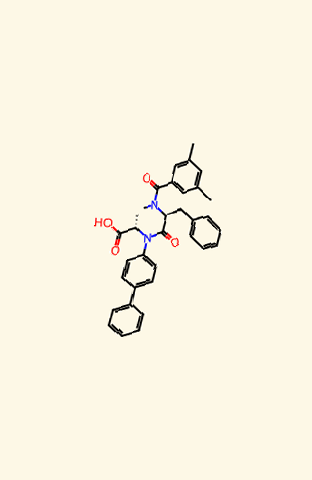 Cc1cc(C)cc(C(=O)N(C)[C@@H](Cc2ccccc2)C(=O)N(c2ccc(-c3ccccc3)cc2)[C@@H](C)C(=O)O)c1